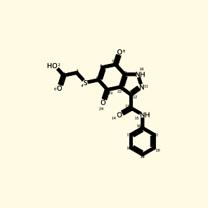 O=C(O)CSC1=CC(=O)c2[nH]nc(C(=O)Nc3ccccc3)c2C1=O